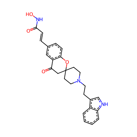 O=C(/C=C/c1ccc2c(c1)C(=O)CC1(CCN(CCc3c[nH]c4ccccc34)CC1)O2)NO